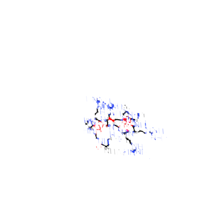 CC(=O)N[C@@H](CCC(=O)O)C(=O)NCC(=O)N[C@@H](CC(C)C)C(=O)N[C@@H](CCCNC(=N)N)C(=O)N[C@@H](CCCCN)C(=O)N[C@@H](CCCNC(=N)N)C(=O)N[C@@H](CCCNC(=N)N)C(=O)N[C@@H](CCCNC(=N)N)C(=O)N[C@@H](CC(C)C)C(=O)N[C@@H](CC(C)C)C(C)=O